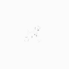 CC(C)(C)[Si](C)(C)OC1=C2CCC3=C(O[Si](C)(C)C(C)(C)C)[CH]([Zr+2][CH]1c1ccccc12)c1ccccc13.[Cl-].[Cl-]